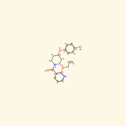 CCOc1ncccc1C(=O)N1CCC(Oc2ccc(Cl)cc2)CC1